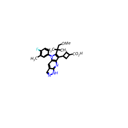 COCC(C)(C)c1c(C2CC(C(=O)O)C2)c2nc3[nH]ncc3cc2n1-c1ccc(F)c(C)c1